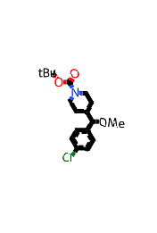 COC(c1ccc(Cl)cc1)C1CCN(C(=O)OC(C)(C)C)CC1